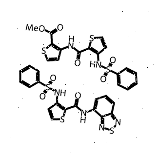 COC(=O)c1sccc1NC(=O)c1sccc1NS(=O)(=O)c1ccccc1.O=C(Nc1cccc2nsnc12)c1sccc1NS(=O)(=O)c1ccccc1